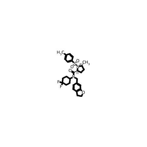 Cc1ccc(S(=O)(=O)N2[C@H](C)CC[C@H]2C(=O)N(Cc2ccc3c(c2)OCC3)C2CCC(F)(F)CC2)cc1